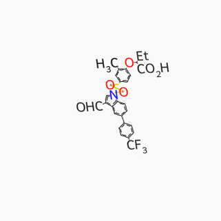 CCC(Oc1ccc(S(=O)(=O)n2cc(C=O)c3cc(-c4ccc(C(F)(F)F)cc4)ccc32)cc1C)C(=O)O